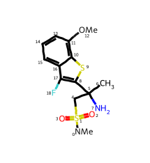 CNS(=O)(=O)CC(C)(N)c1sc2c(OC)cccc2c1F